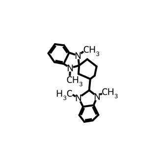 CN1c2ccccc2N(C)C1C1CCCC2(C1)N(C)c1ccccc1N2C